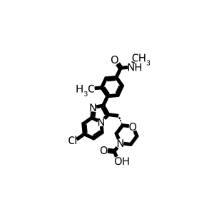 CNC(=O)c1ccc(-c2nc3cc(Cl)ccn3c2C[C@H]2CN(C(=O)O)CCO2)c(C)c1